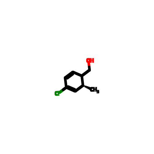 C[C@@H]1C=C(Cl)C=CC1CO